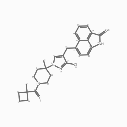 CC1(C(=O)N2CCC(C)(n3cc(Cc4ccc5c6c(cccc46)C(=O)N5)c(Cl)n3)CC2)CCC1